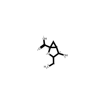 CCC1OC2(C(=O)O)CC2C1O